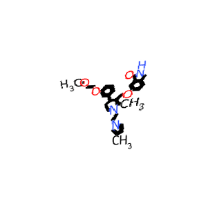 COCCOc1cccc(C2CCN(CCn3ccc(C)c3)C(C)C2COc2ccc3c(c2)C(=O)NC3)c1